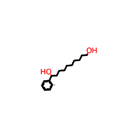 OCCCCCCCCCC(O)c1[c]cccc1